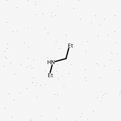 [CH]CNCCC